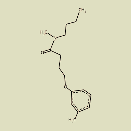 CCCCN(C)C(=O)CCCOc1cccc(C)c1